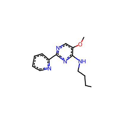 CCCCNc1nc(-c2ccccn2)ncc1OC